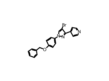 Brc1cn(-c2ccc(OCc3ccccc3)cc2)nc1-c1ccncc1